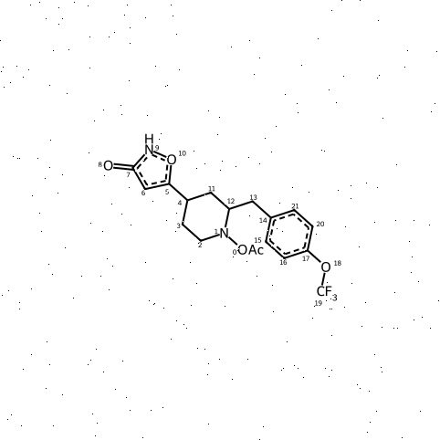 CC(=O)ON1CCC(c2cc(=O)[nH]o2)CC1Cc1ccc(OC(F)(F)F)cc1